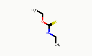 C[CH]OC(=S)NCC